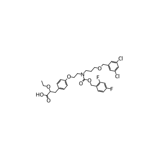 CCOC(Cc1ccc(OCCN(CCCOCc2cc(Cl)cc(Cl)c2)C(=O)OCc2ccc(F)cc2F)cc1)C(=O)O